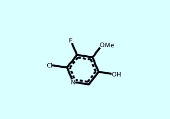 COc1c(O)cnc(Cl)c1F